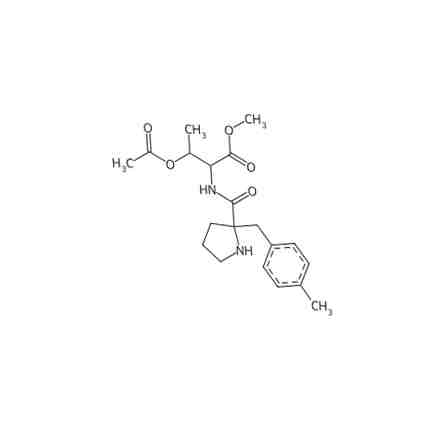 COC(=O)C(NC(=O)C1(Cc2ccc(C)cc2)CCCN1)C(C)OC(C)=O